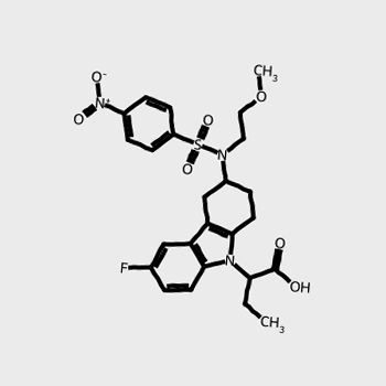 CCC(C(=O)O)n1c2c(c3cc(F)ccc31)CC(N(CCOC)S(=O)(=O)c1ccc([N+](=O)[O-])cc1)CC2